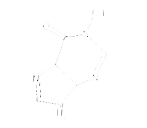 CN1C=NC2[SiH2]C=NC2C1=O